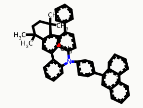 Cc1cc2c(cc1-c1ccccc1N(c1ccc(-c3ccccc3)cc1)c1ccc(-c3cc4ccccc4c4ccccc34)cc1)C(C)(C)CCC2(C)C